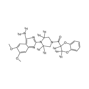 [2H]N([2H])c1nc(N2C([2H])([2H])CN(C(=O)C3([2H])Oc4ccccc4OC3([2H])[2H])CC2([2H])[2H])nc2cc(OC)c(OC)cc12